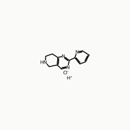 [Cl-].[H+].c1ccc(-c2ncc3c(n2)CCNC3)nc1